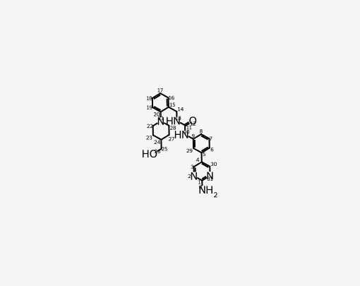 Nc1ncc(-c2cccc(NC(=O)NCc3ccccc3N3CCC(CO)CC3)c2)cn1